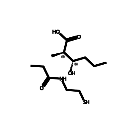 CCC(=O)NCCS.CCC[C@H](O)[C@@H](C)C(=O)O